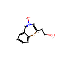 [O-][N+]1=Cc2ccccc2SC(CCO)=C1